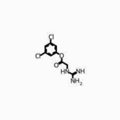 N=C(N)NCC(=O)Oc1cc(Cl)cc(Cl)c1